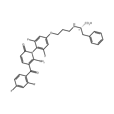 Nc1c(C(=O)c2ccc(F)cc2F)ccc(=O)n1-c1c(F)cc(OCCCN[C@@H](Cc2ccccc2)C(=O)O)cc1F